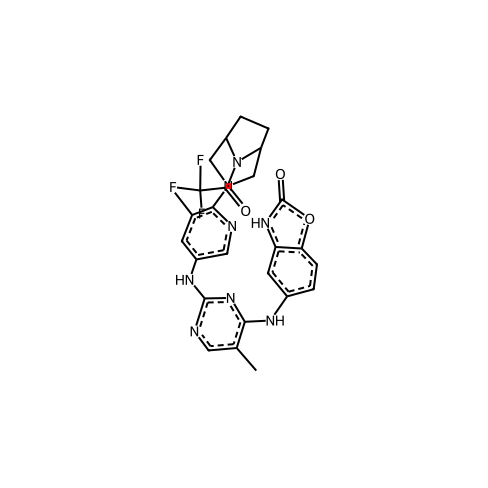 Cc1cnc(Nc2cnc(N3CC4CCC(C3)N4C(=O)C(F)(F)F)c(C)c2)nc1Nc1ccc2oc(=O)[nH]c2c1